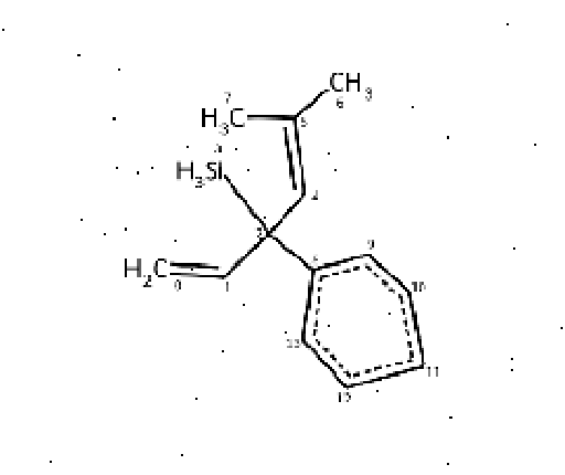 C=CC([SiH3])(C=C(C)C)c1ccccc1